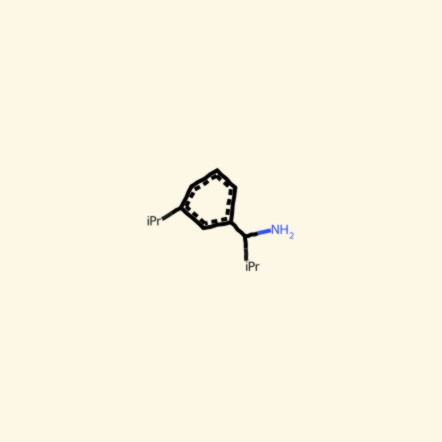 CC(C)c1cccc(C(N)C(C)C)c1